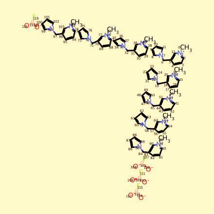 C[n+]1cccc(Cn2cccc2)c1.C[n+]1cccc(Cn2cccc2)c1.C[n+]1cccc(Cn2cccc2)c1.C[n+]1cccc(Cn2cccc2)c1.C[n+]1cccc(Cn2cccc2)c1.C[n+]1cccc(Cn2cccc2)c1.C[n+]1cccc(Cn2cccc2)c1.C[n+]1cccc(Cn2cccc2)c1.[O-]B([O-])F.[O-]B([O-])F.[O-]B([O-])F.[O-]B([O-])F